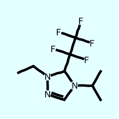 CCN1N=CN(C(C)C)C1C(F)(F)C(F)(F)F